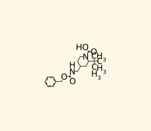 CC(C)(C)C1CC(CNC(=O)OCc2ccccc2)CCN1C(=O)O